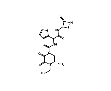 CCN1C(=O)C(=O)N(C(=O)NC(C(=O)NC2CNC2=O)c2cccs2)C[C@@H]1C